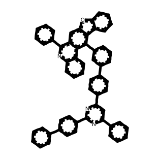 c1ccc(-c2ccc(-c3nc(-c4ccccc4)cc(-c4ccc(-c5cccc(-c6c7c(cc8c(-c9ccccc9)nc9ccccc9c68)oc6ccccc67)c5)cc4)n3)cc2)cc1